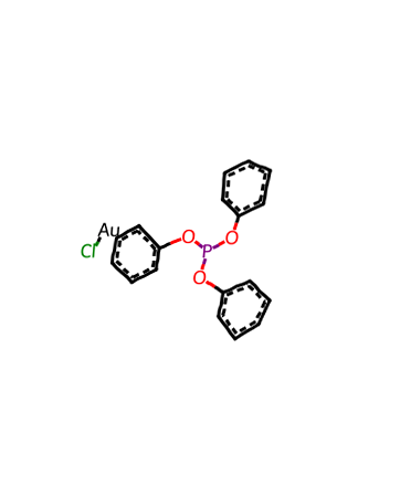 [Cl][Au].c1ccc(OP(Oc2ccccc2)Oc2ccccc2)cc1